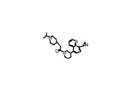 CC(C)N1CCC(CC(=O)N2CCCC(c3ccc(C4C=N4)c4ncccc34)C2)CC1